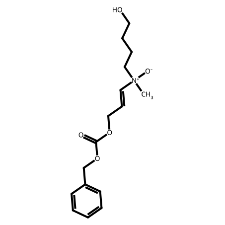 C[N+]([O-])(C=CCOC(=O)OCc1ccccc1)CCCCO